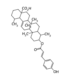 CC1CCCC2(C(=O)O)CC[C@]3(C)C(=CCC4C5(C)CCC(OC(=O)/C=C/c6ccc(O)cc6)C(C)C5CCC43C)C12